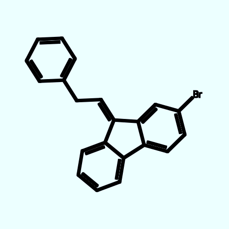 Brc1ccc2c(c1)/C(=C/Cc1ccccc1)c1ccccc1-2